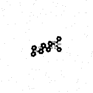 c1ccc(C2NC(c3ccccc3)NC(c3cccc4c3oc3cccc(-c5cccc6oc7c(-n8c9ccccc9c9ccccc98)cccc7c56)c34)N2)cc1